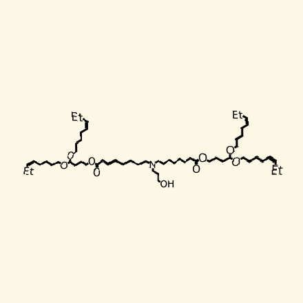 CC/C=C\CCCCOC(CCCOC(=O)CCCCCCCN(CCCO)CCCCCCCC(=O)OCCCC(OCCCC/C=C\CC)OCCCC/C=C\CC)OCCCC/C=C\CC